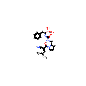 CC(C)/C=C(\C#N)C(=O)N1CCC[C@@H]1CNC(=O)N[C@@H](Cc1ccccc1)B(O)O